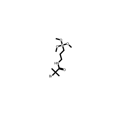 CO[Si](CCCNC(=O)C(C)(C)Br)(OC)OC